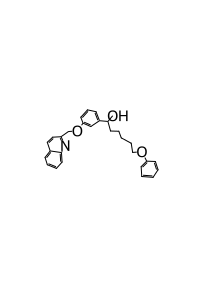 OC(CCCCCOc1ccccc1)c1cccc(OCc2ccc3ccccc3n2)c1